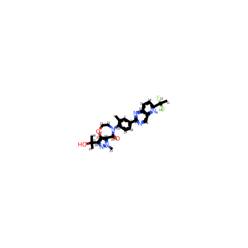 Cc1cc(-c2ncc3nc(C(C)(F)F)ccc3n2)ccc1N1CCOc2c(C(C)(C)O)nn(C)c2C1=O